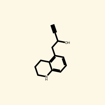 C#CC(O)Cc1cccc2c1CCCN2